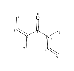 C=CN(C)C(=O)/C(C)=C\C